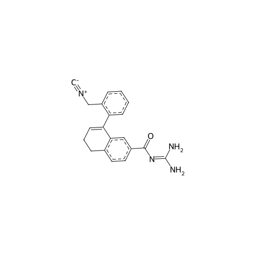 [C-]#[N+]Cc1ccccc1C1=CCCc2ccc(C(=O)N=C(N)N)cc21